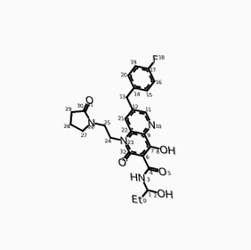 CCC(O)NC(=O)c1c(O)c2ncc(Cc3ccc(F)cc3)cc2n(CCN2CCCC2=O)c1=O